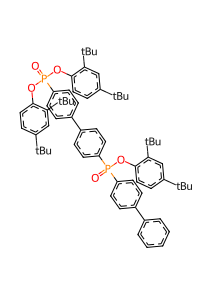 CC(C)(C)c1ccc(OP(=O)(Oc2ccc(C(C)(C)C)cc2C(C)(C)C)c2ccc(-c3ccc(P(=O)(Oc4ccc(C(C)(C)C)cc4C(C)(C)C)c4ccc(-c5ccccc5)cc4)cc3)cc2)c(C(C)(C)C)c1